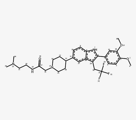 COc1ccc(-c2[nH]c3ccc(C4CCN(CC(=O)NCCN(C)C)CC4)cc3c2CC(F)(F)F)cc1OC